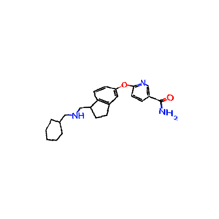 NC(=O)c1ccc(Oc2ccc3c(c2)CCC3CNCC2CCCCC2)nc1